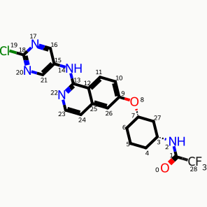 O=C(N[C@@H]1CCC[C@H](Oc2ccc3c(Nc4cnc(Cl)nc4)nccc3c2)C1)C(F)(F)F